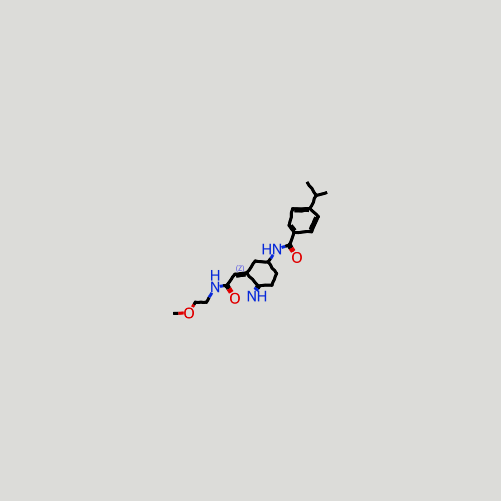 COCCNC(=O)/C=C1/CC(NC(=O)c2ccc(C(C)C)cc2)CCC1=N